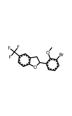 COc1c(Br)cccc1C1Cc2cc(C(F)(F)F)ccc2O1